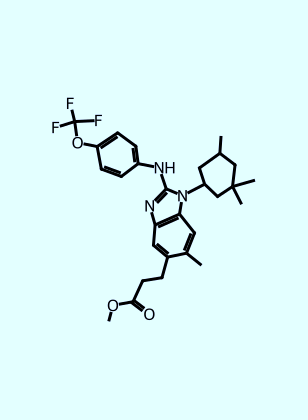 COC(=O)CCc1cc2nc(Nc3ccc(OC(F)(F)F)cc3)n(C3CC(C)CC(C)(C)C3)c2cc1C